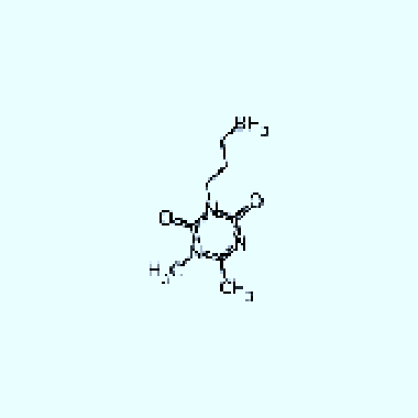 BCCCn1c(=O)nc(C)n(C)c1=O